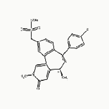 CNS(=O)(=O)Cc1ccc2c(c1)-c1cn(C)c(=O)cc1[C@H](C)N=C2c1ccc(F)cc1